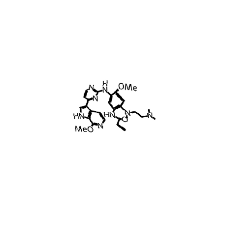 C=CC(=O)Nc1cc(Nc2nccc(-c3c[nH]c4c(OC)nccc34)n2)c(OC)cc1N(C)CCN(C)C